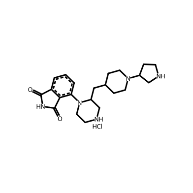 Cl.O=C1NC(=O)c2c1cccc2N1CCNCC1CC1CCN(C2CCNC2)CC1